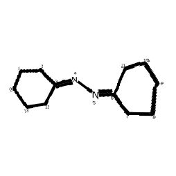 C1CCC(=NN=C2CCCCC2)CC1